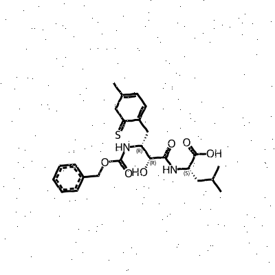 CC1=CC=C(C[C@@H](NC(=O)OCc2ccccc2)[C@@H](O)C(=O)N[C@@H](CC(C)C)C(=O)O)C(=S)C1